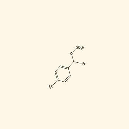 CCCC(OS(=O)(=O)O)c1ccc(C)cc1